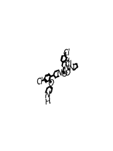 O=C(N[C@H](Cc1ccc(Cl)cc1Cl)C(=O)N1CCC(c2ccc(Cl)cc2OC2CCNCC2)CC1)N1CCCC1